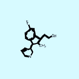 CC1=C(CCO)c2cc(F)ccc2C1=C1C=CC=NC1